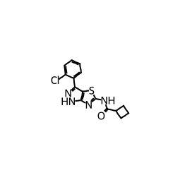 O=C(Nc1nc2[nH]nc(-c3ccccc3Cl)c2s1)C1CCC1